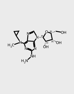 CN(c1nc(NN)nc2c1ncn2[C@@H]1O[C@H](CO)[C@H](O)[C@@H]1O)C1CC1